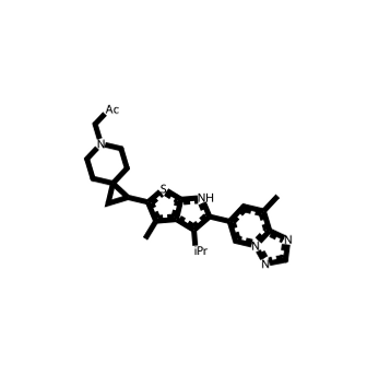 CC(=O)CN1CCC2(CC1)CC2c1sc2[nH]c(-c3cc(C)c4ncnn4c3)c(C(C)C)c2c1C